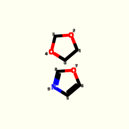 C1COCO1.c1cocn1